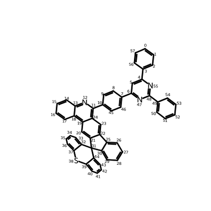 c1ccc(-c2cc(-c3ccc(-c4nc5ccccc5c5cc6c(cc45)-c4ccccc4C64c5ccccc5Sc5ccccc54)cc3)nc(-c3ccccc3)n2)cc1